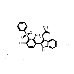 Nc1c(-c2[nH]c3ccccc3c2CC(=O)O)ccc(Cl)c1S(=O)(=O)c1ccccc1